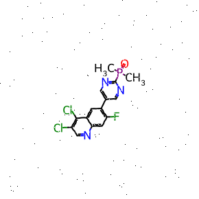 CP(C)(=O)c1ncc(-c2cc3c(Cl)c(Cl)cnc3cc2F)cn1